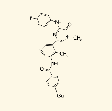 Cc1c(NC(=O)c2ccc(C(C)(C)C)cc2)cccc1-c1cn(C)c(=O)c(Nc2ccc(F)cc2)n1